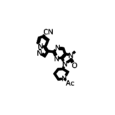 CC(=O)N1CCCC(n2c(=O)n(C)c3cnc(-c4cnn5ccc(C#N)cc45)nc32)C1